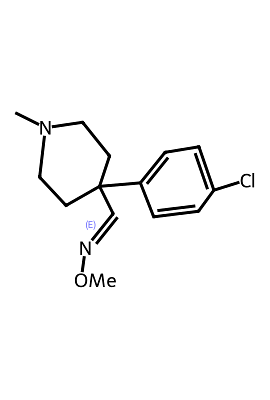 CO/N=C/C1(c2ccc(Cl)cc2)CCN(C)CC1